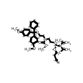 COC(=O)N(CCOP(OCCC#N)N(C(C)C)C(C)C)CCOC(c1ccccc1)(c1ccc(OC)cc1)c1ccc(OC)cc1